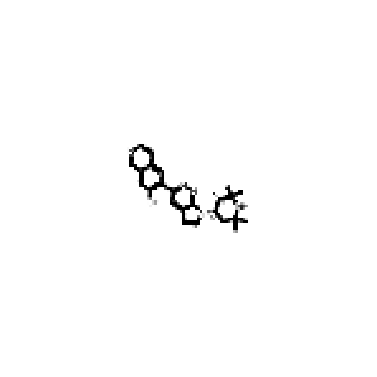 CC1(C)C[C@H](n2ccc3cc(-c4cc5ccncc5cc4O)nnc32)[C@H](F)C(C)(C)N1